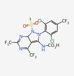 CS(=O)(=O)N1C2N=C(C(F)(F)F)N=C(C(F)(F)F)C2=C(NC(=O)O)N1c1c(Cl)cc(C(F)(F)F)cc1Cl